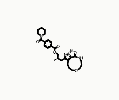 CCn1nc(C[C@@H](C)COC(=O)c2ccc(C(=O)N3CCCCC3)cc2)c2c1C(=O)NCCCOCCC2